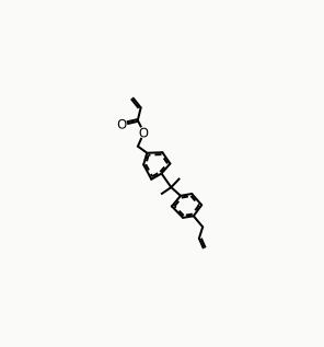 C=CCc1ccc(C(C)(C)c2ccc(COC(=O)C=C)cc2)cc1